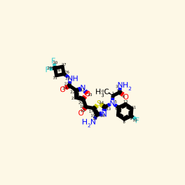 C[C@H](C(N)=O)N(c1ccc(F)cc1)c1nc(N)c(C(=O)c2cc(C(=O)NC3CC(F)(F)C3)no2)s1